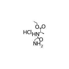 CCOC(=O)[C@@H](C)NC(=O)CN.Cl